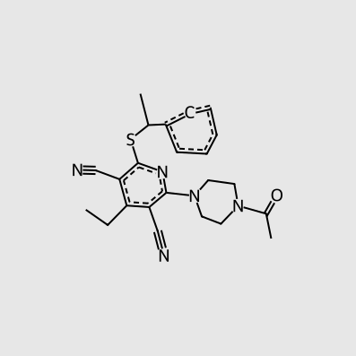 CCc1c(C#N)c(SC(C)c2ccccc2)nc(N2CCN(C(C)=O)CC2)c1C#N